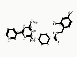 [C-]#[N+]c1ccc(CNC(=O)[C@H]2CC[C@@H](Nc3nc(NC)nc(-c4cccnc4)n3)CC2)c(Cl)c1